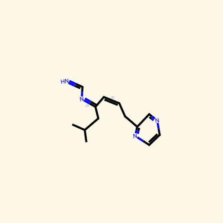 CC(C)CC(/C=C\Cc1cnccn1)=N/C=N